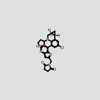 O=C1CCC(=O)N1Cc1cc2nccc(-c3cc(Cl)cc4c3N(C3CCNC3)C[C@@H]3C[C@H]43)c2s1